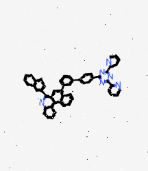 c1ccc(-c2nc(-c3ccc(-c4cccc(-c5cc6c(-c7ccc8ccccc8c7)nc7ccccc7c6c6ccccc56)c4)cc3)nc(-c3ccccn3)n2)nc1